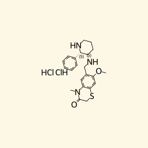 COc1cc2c(cc1CN[C@H]1CCCN[C@H]1c1ccccc1)N(C)C(=O)CS2.Cl.Cl